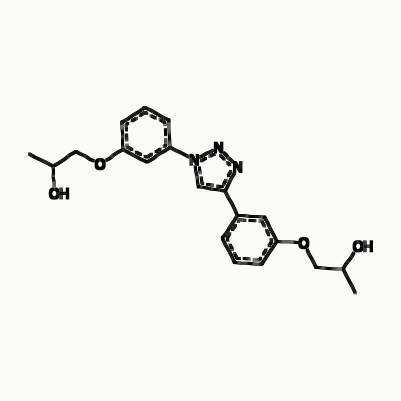 CC(O)COc1cccc(-c2cn(-c3cccc(OCC(C)O)c3)nn2)c1